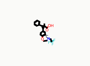 CC1(C(=O)O)C(c2ccccc2)C1c1ccc2c(c1)CN(CC(F)(F)F)CCO2